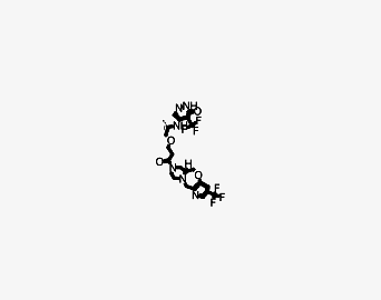 C[C@@H](COCCC(=O)N1CCN2Cc3ncc(C(F)(F)F)cc3OC[C@H]2C1)Nc1cn[nH]c(=O)c1C(F)(F)F